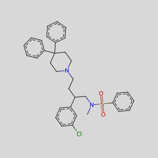 CN(CC(CCN1CCC(c2ccccc2)(c2ccccc2)CC1)c1cccc(Cl)c1)S(=O)(=O)c1ccccc1